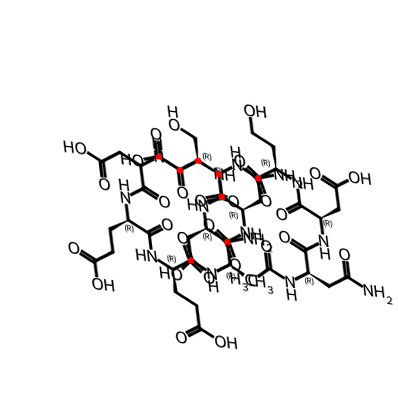 CC(=O)N[C@H](CC(N)=O)C(=O)N[C@H](CC(=O)O)C(=O)N[C@H](CCO)C(=O)N[C@H](CCC(=O)O)C(=O)N[C@H](CC(=O)O)C(=O)N[C@H](CC(N)=O)C(=O)N[C@H](CO)C(=O)NC(CC(=O)O)C(=O)N[C@H](CCC(=O)O)C(=O)N[C@H](CCC(=O)O)C(=O)N[C@H](C)C(N)=O